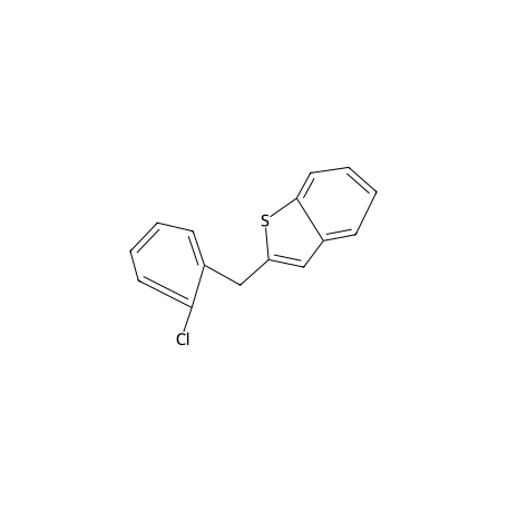 Clc1ccccc1Cc1cc2ccccc2s1